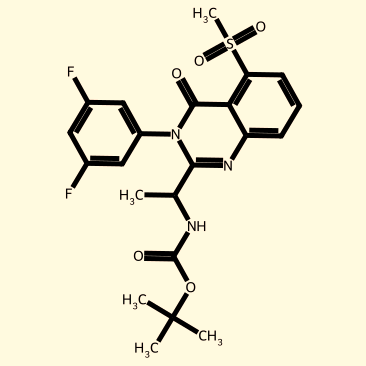 CC(NC(=O)OC(C)(C)C)c1nc2cccc(S(C)(=O)=O)c2c(=O)n1-c1cc(F)cc(F)c1